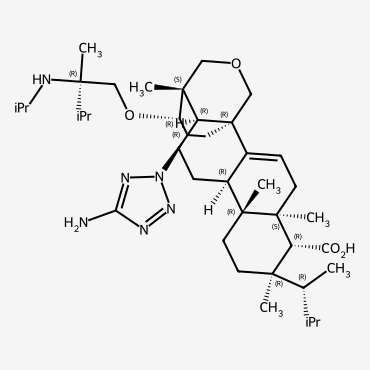 CC(C)N[C@@](C)(CO[C@H]1[C@H](n2nnc(N)n2)C[C@@]23COC[C@]1(C)[C@@H]2CC[C@H]1C3=CC[C@@]2(C)[C@H](C(=O)O)[C@@](C)([C@H](C)C(C)C)CC[C@]12C)C(C)C